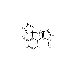 CC1=NN=CC1(C=O)c1c(F)cccc1-c1nccn1C